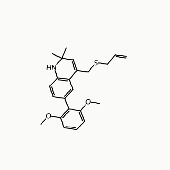 C=CCSCC1=CC(C)(C)Nc2ccc(-c3c(OC)cccc3OC)cc21